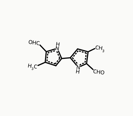 Cc1cc(-c2cc(C)c(C=O)[nH]2)[nH]c1C=O